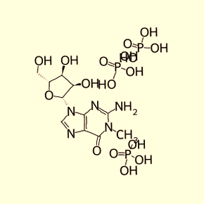 Cn1c(N)nc2c(ncn2[C@@H]2O[C@H](CO)[C@@H](O)[C@H]2O)c1=O.O=P(O)(O)O.O=P(O)(O)O.O=P(O)(O)O